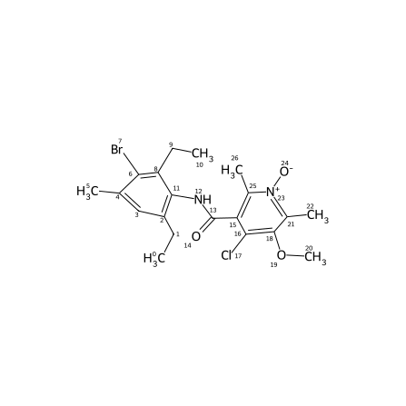 CCc1cc(C)c(Br)c(CC)c1NC(=O)c1c(Cl)c(OC)c(C)[n+]([O-])c1C